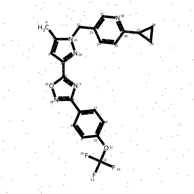 Cc1cc(-c2nc(-c3ccc(OC(F)(F)F)cc3)no2)nn1Cc1ccc(C2CC2)nc1